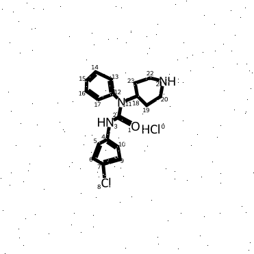 Cl.O=C(Nc1ccc(Cl)cc1)N(c1ccccc1)C1CCNCC1